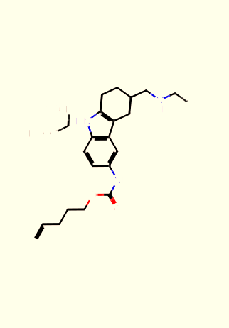 C=CCCCOC(=O)Nc1ccc2[nH]c3c(c2c1)CC(CNCC(C)C)CC3.O=C(O)CC(=O)O